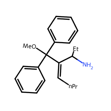 CCCC=C(C(N)CC)C(OC)(c1ccccc1)c1ccccc1